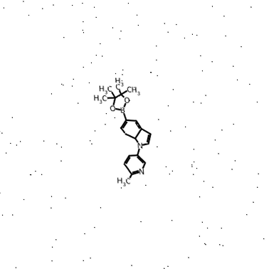 Cc1ccc(N2C=CC3=CC(B4OC(C)(C)C(C)(C)O4)=CCC32)cn1